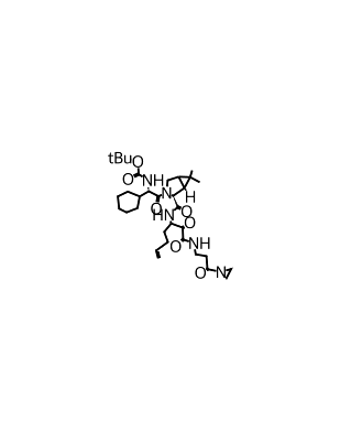 C=CCCC(NC(=O)[C@@H]1[C@@H]2C(CN1C(=O)[C@@H](NC(=O)OC(C)(C)C)C1CCCCC1)C2(C)C)C(=O)C(=O)NCCC(=O)N1CC1